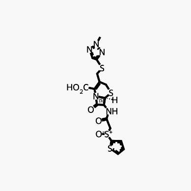 Cn1ncc(SCC2=C(C(=O)O)N3C(=O)C(NC(=O)C[S+]([O-])c4cccs4)[C@@H]3SC2)n1